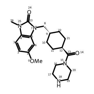 COc1ccc2c(c1)n(C[C@H]1CC[C@H](C(=O)N3CCNCC3)CC1)c(=O)n2C